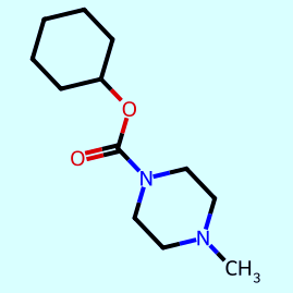 CN1CCN(C(=O)OC2CCCCC2)CC1